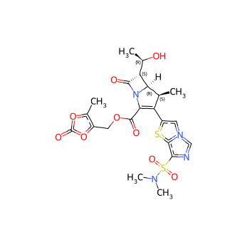 Cc1oc(=O)oc1COC(=O)C1=C(c2cn3cnc(S(=O)(=O)N(C)C)c3s2)[C@H](C)[C@@H]2[C@@H]([C@@H](C)O)C(=O)N12